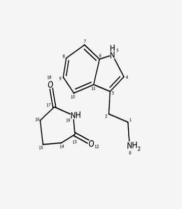 NCCc1c[nH]c2ccccc12.O=C1CCCC(=O)N1